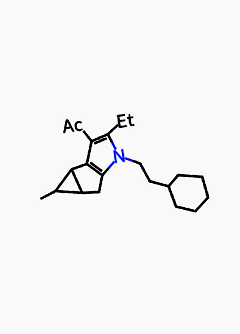 CCc1c(C(C)=O)c2c(n1CCC1CCCCC1)CC1C(C)C21